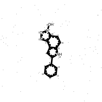 O[n+]1onc2c3cc(-c4ccccc4)[nH]c3ccc21